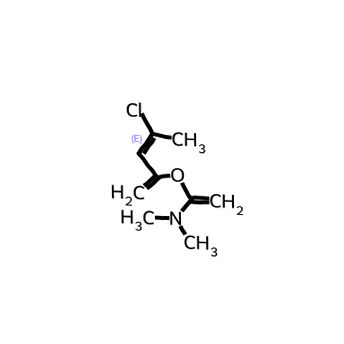 C=C(/C=C(\C)Cl)OC(=C)N(C)C